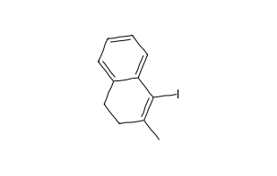 CC1=C(I)c2ccccc2CC1